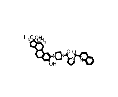 C[C@]1(O)CCC2C3CCc4cc(O)c(N5CCN(C(=O)[C@@H]6CCCN6C(=O)c6ccc7ccccc7n6)CC5)cc4C3CC[C@@]21C